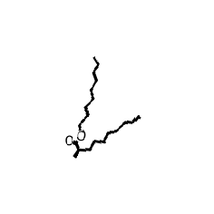 C=C(CCCCCCCC)C(=O)OCCCCCCCCC